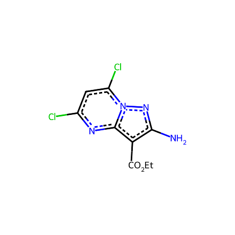 CCOC(=O)c1c(N)nn2c(Cl)cc(Cl)nc12